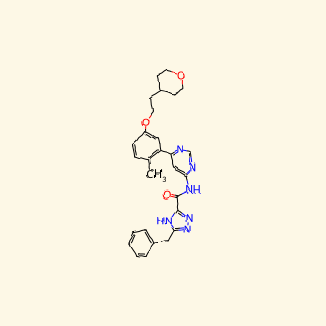 Cc1ccc(OCCC2CCOCC2)cc1-c1cc(NC(=O)c2nnc(Cc3ccccc3)[nH]2)ncn1